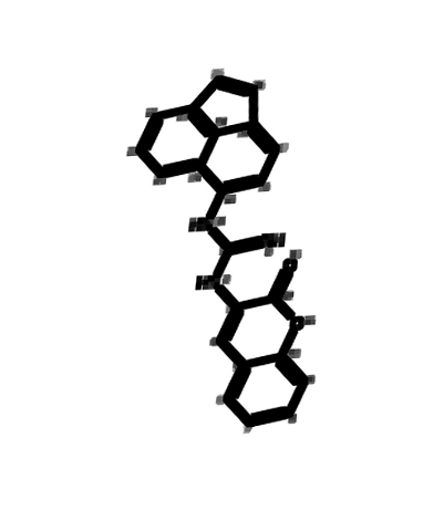 N=C(Nc1cc2ccccc2oc1=O)Nc1ccc2c3c(cccc13)C=C2